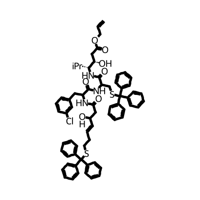 C=CCOC(=O)C[C@H](O)[C@H](NC(=O)C(CSC(c1ccccc1)(c1ccccc1)c1ccccc1)NC(=O)C(Cc1cccc(Cl)c1)NC(=O)CC(O)C=CCCSC(c1ccccc1)(c1ccccc1)c1ccccc1)C(C)C